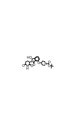 CC(C)(C)OC(=O)N1CCC(Oc2cccc3c2C(=O)N(C2CCC(=O)NC2=O)C3O)CC1